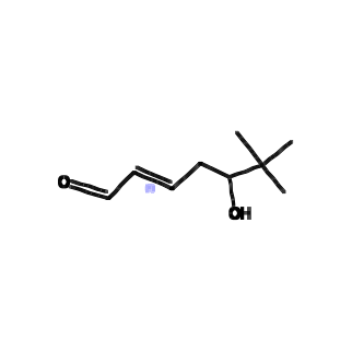 CC(C)(C)C(O)C/C=C/C=O